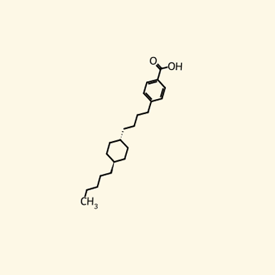 CCCCC[C@H]1CC[C@H](CCCCc2ccc(C(=O)O)cc2)CC1